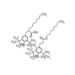 CCCCCCCCC(Cc1cc(C(C)(C)C)c(OC)c(C(C)(C)C)c1)C(=O)O.CCCCCCCCOC(=O)CCc1cc(C(C)(C)C)c(OC)c(C(C)(C)C)c1